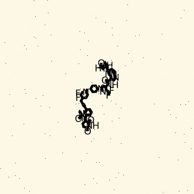 Cn1c(=O)n(C2CCC(=O)NC2=O)c2cccc(C#CCC3CCN(C[C@H]4CC[C@H](n5cc(NC(=O)c6cnn7ccc(N8C[C@H]9C[C@@H]8CO9)nc67)c(C(F)F)n5)CC4)CC3(F)F)c21